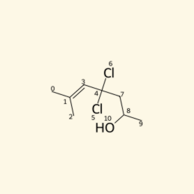 CC(C)=CC(Cl)(Cl)CC(C)O